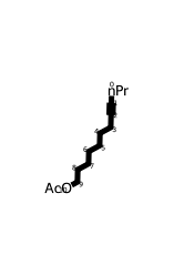 CCCC#CCCCCCCCOC(C)=O